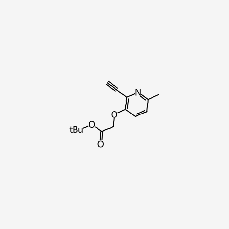 C#Cc1nc(C)ccc1OCC(=O)OC(C)(C)C